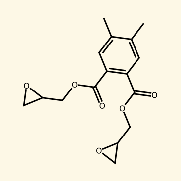 Cc1cc(C(=O)OCC2CO2)c(C(=O)OCC2CO2)cc1C